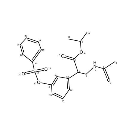 CC(=O)NCC(C(=O)OC(C)C)c1cccc(OS(=O)(=O)c2ccccc2)c1